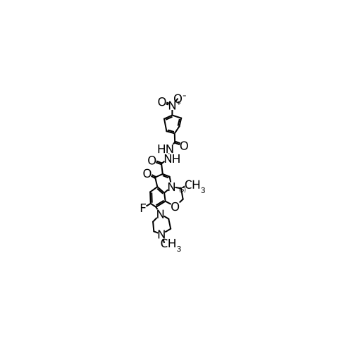 C[C@H]1COc2c(N3CCN(C)CC3)c(F)cc3c(=O)c(C(=O)NNC(=O)c4ccc([N+](=O)[O-])cc4)cn1c23